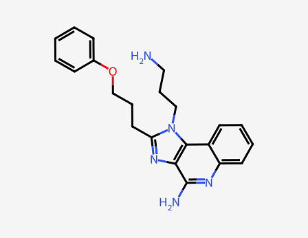 NCCCn1c(CCCOc2ccccc2)nc2c(N)nc3ccccc3c21